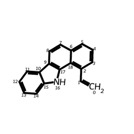 C=Cc1cccc2ccc3c4ccccc4[nH]c3c12